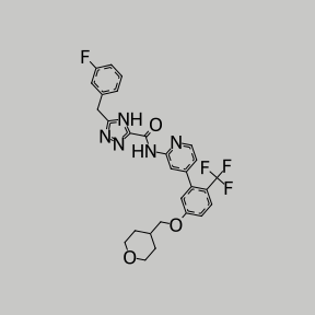 O=C(Nc1cc(-c2cc(OCC3CCOCC3)ccc2C(F)(F)F)ccn1)c1nnc(Cc2cccc(F)c2)[nH]1